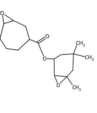 CC1(C)CC(OC(=O)C2CCCC3OC3C2)C2OC2(C)C1